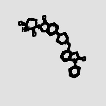 O=C1CCC(N2Cc3cc(C4CCN(Cc5cccc6c5CC(=O)N6c5ccccc5)CC4)ccc3C2=O)C(=O)N1